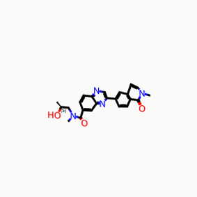 C[C@H](O)CN(C)C(=O)c1ccc2ncc(-c3ccc4c(=O)n(C)ccc4c3)nc2c1